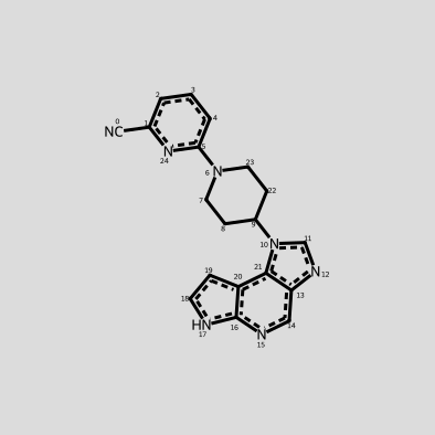 N#Cc1cccc(N2CCC(n3cnc4cnc5[nH]ccc5c43)CC2)n1